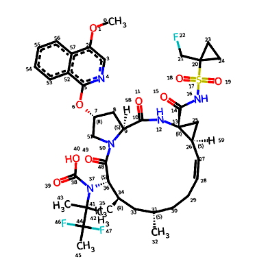 COc1cnc(O[C@@H]2C[C@H]3C(=O)N[C@]4(C(=O)NS(=O)(=O)C5(CF)CC5)C[C@H]4C=CCC[C@H](C)C[C@@H](C)[C@H](N(C(=O)O)C(C)(C)C(C)(F)F)C(=O)N3C2)c2ccccc12